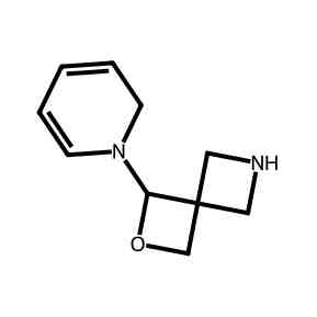 C1=CCN(C2OCC23CNC3)C=C1